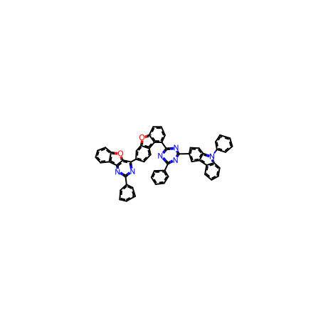 c1ccc(-c2nc(-c3ccc4c(c3)c3ccccc3n4-c3ccccc3)nc(-c3cccc4oc5cc(-c6nc(-c7ccccc7)nc7c6oc6ccccc67)ccc5c34)n2)cc1